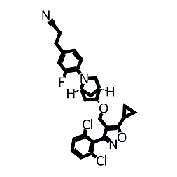 N#CCCc1ccc(N2C[C@@H]3C[C@H]2C[C@H]3OCc2c(-c3c(Cl)cccc3Cl)noc2C2CC2)c(F)c1